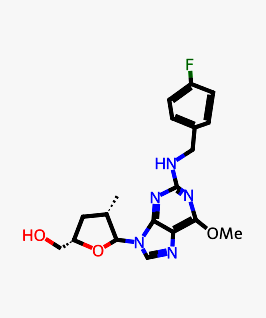 COc1nc(NCc2ccc(F)cc2)nc2c1ncn2C1O[C@H](CO)C[C@@H]1C